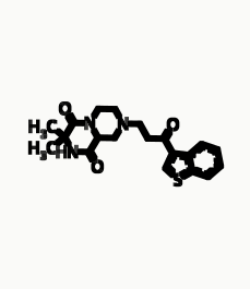 CC1(C)NC(=O)C2CN(CCC(=O)c3csc4ccccc34)CCN2C1=O